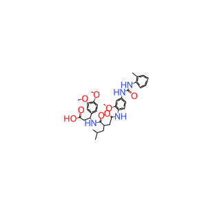 COc1cc(NC(=O)Nc2ccccc2C)ccc1NC(=O)CC(CC(C)C)C(=O)NC(CC(=O)O)c1ccc(OC)c(OC)c1